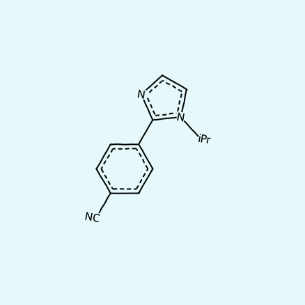 CC(C)n1ccnc1-c1ccc(C#N)cc1